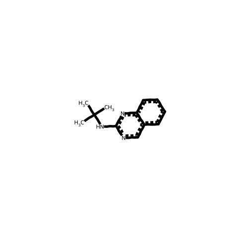 CC(C)(C)Nc1ncc2ccccc2n1